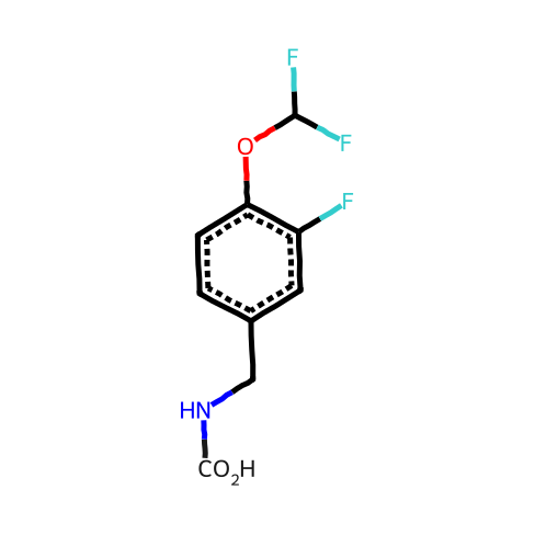 O=C(O)NCc1ccc(OC(F)F)c(F)c1